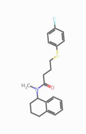 CN(C(=O)CCCSc1ccc(F)cc1)C1CCCc2ccccc21